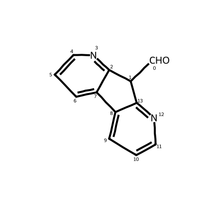 O=CC1c2ncccc2-c2cccnc21